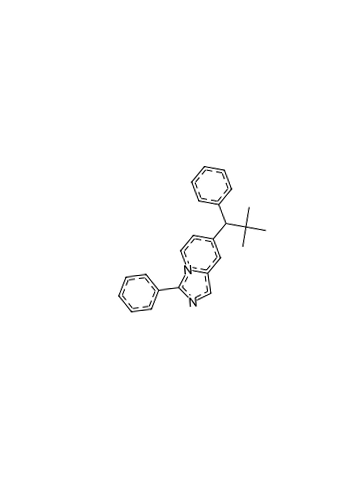 CC(C)(C)C(c1ccccc1)c1ccn2c(-c3ccccc3)ncc2c1